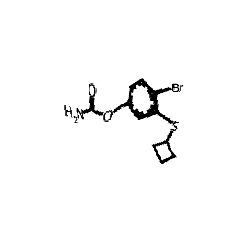 NC(=O)Oc1ccc(Br)c(SC2CCC2)c1